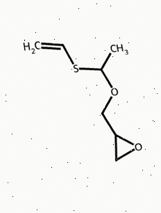 C=CSC(C)OCC1CO1